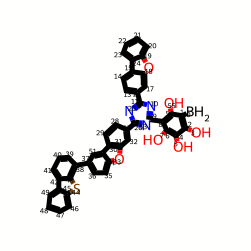 Bc1c(O)c(O)c(O)c(-c2nc(-c3ccc4c(c3)oc3ccccc34)nc(-c3ccc4c(c3)oc3ccc(-c5cccc6c5sc5ccccc56)cc34)n2)c1O